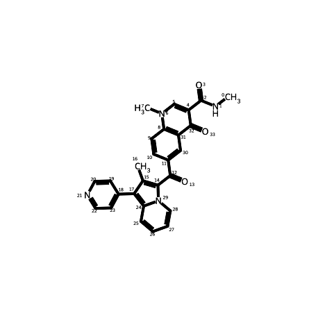 CNC(=O)c1cn(C)c2ccc(C(=O)c3c(C)c(-c4ccncc4)c4ccccn34)cc2c1=O